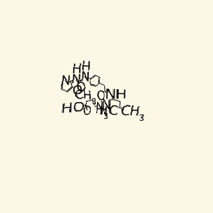 COc1cccnc1NC(=O)Nc1ccc(CC(=O)NC(CC(C)C)N2C=NN(CCCC(=O)O)C2)cc1